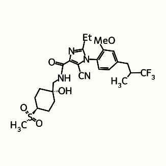 CCc1nc(C(=O)NC[C@]2(O)CC[C@H](S(C)(=O)=O)CC2)c(C#N)n1-c1ccc(CC(C)C(F)(F)F)cc1OC